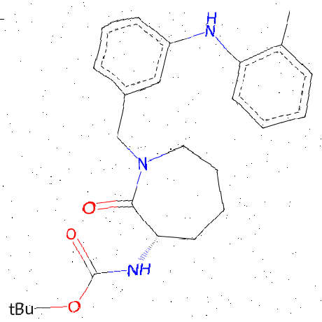 Cc1ccccc1Nc1cccc(CN2CCCC[C@H](NC(=O)OC(C)(C)C)C2=O)c1